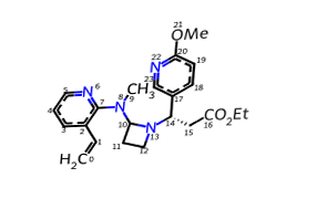 C=Cc1cccnc1N(C)C1CCN1[C@@H](CC(=O)OCC)c1ccc(OC)nc1